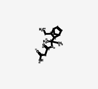 CCC1C2C=CC(C2)C1C(C)(C)OC(=O)CC(=O)O